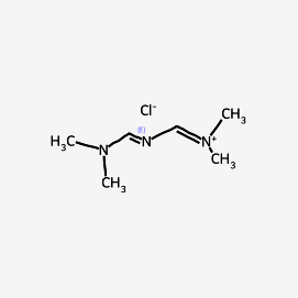 CN(C)/C=N/C=[N+](C)C.[Cl-]